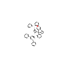 c1ccc(-c2cc(-c3ccccc3)nc(N3c4ccccc4C4(c5ccccc5-c5ccccc54)c4cc(N(c5ccccc5)c5ccccc5)ccc43)c2)cc1